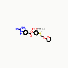 N=C(N)Nc1ccc(C(=O)Oc2ccc(SCCOC3CCCCO3)cc2)cc1.O=C(O)O